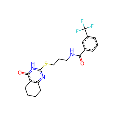 O=C(NCCCSc1nc2c(c(=O)[nH]1)CCCC2)c1cccc(C(F)(F)F)c1